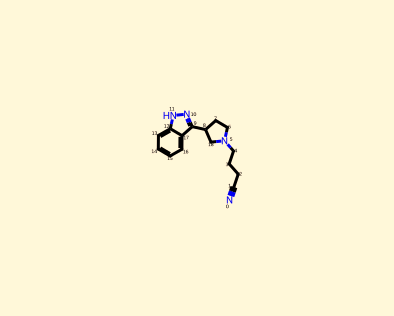 N#CCCCN1CCC(c2n[nH]c3ccccc23)C1